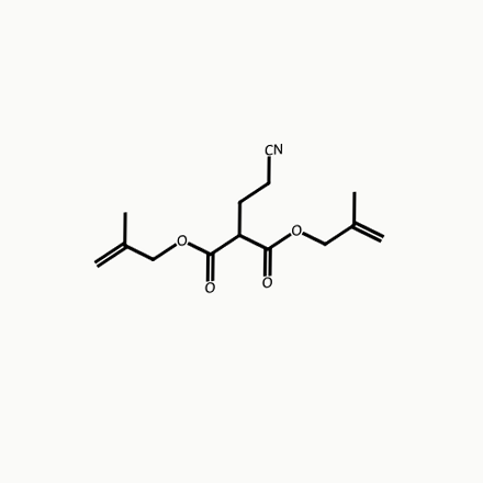 C=C(C)COC(=O)C(CCC#N)C(=O)OCC(=C)C